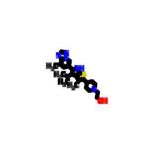 Cc1c(C2CCN(CCO)CC2)sc2[nH]c(-c3cc(C)c4ncnn4c3)c(C(C)C)c12